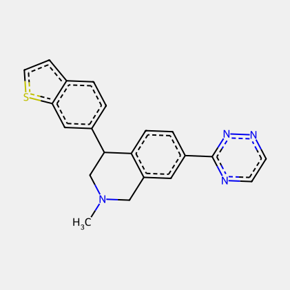 CN1Cc2cc(-c3nccnn3)ccc2C(c2ccc3ccsc3c2)C1